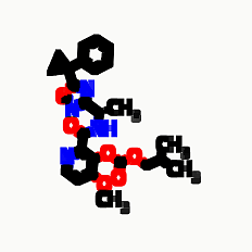 COc1ccnc(C(=O)N[C@@H](C)c2noc(C3(c4ccccc4)CC3)n2)c1OC(=O)OCC(C)C